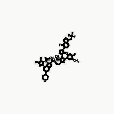 Cc1cc(-n2nc3c(c2-n2ccn(-c4ccc5c(cnn5CC(F)(F)F)c4F)c2=O)[C@H](C)N(C(=O)c2cc4cc(C5CCOCC5)ccc4n2[C@@]2(c4noc(=O)[nH]4)C[C@@H]2C)CC3)ccc1F